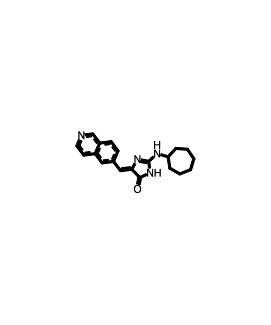 O=C1NC(NC2CCCCCC2)=N/C1=C\c1ccc2cnccc2c1